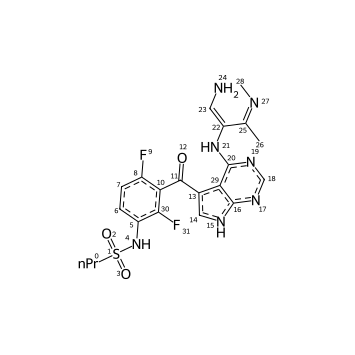 CCCS(=O)(=O)Nc1ccc(F)c(C(=O)c2c[nH]c3ncnc(NC(=C/N)/C(C)=N\C)c23)c1F